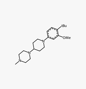 COc1cc(N2CCC(N3CCN(C)CC3)CC2)ccc1C(C)(C)C